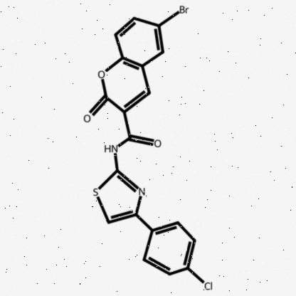 O=C(Nc1nc(-c2ccc(Cl)cc2)cs1)c1cc2cc(Br)ccc2oc1=O